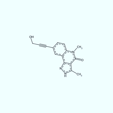 Cc1[nH]nc2c1c(=O)n(C)c1ccc(C#CCO)cc21